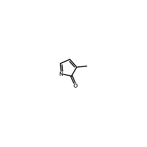 CC1=CC=NC1=O